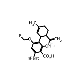 C=C(C)C1CCC(C)=CC1c1c(OCF)cc(CCCCC)c(C(=O)O)c1O